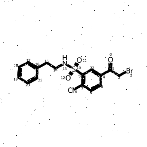 O=C(CBr)c1ccc(Cl)c(S(=O)(=O)NCCc2ccccc2)c1